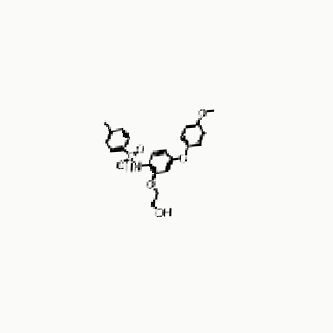 COc1ccc(Oc2ccc(NS(=O)(=O)c3ccc(C)cc3)c(OCCO)c2)cc1